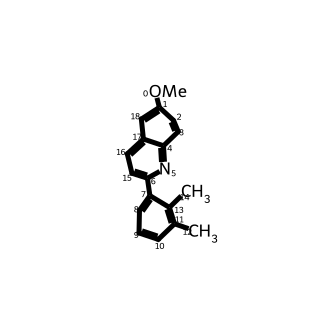 COc1ccc2nc(-c3cccc(C)c3C)ccc2c1